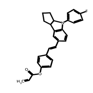 C=CC(=O)Oc1ccc(C=Cc2ccc3c(c2)C2CCCC2N3c2ccc(F)cc2)cc1